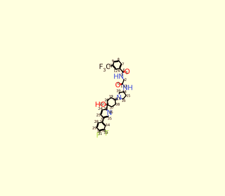 O=C(CNC(=O)c1cccc(C(F)(F)F)c1)N[C@@H]1CCN(C2CCC(O)(c3ccc(-c4ccc(F)c(F)c4)cn3)CC2)C1